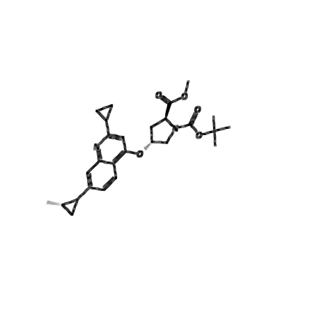 COC(=O)[C@@H]1C[C@@H](Oc2cc(C3CC3)nc3cc(C4C[C@@H]4C)ccc23)CN1C(=O)OC(C)(C)C